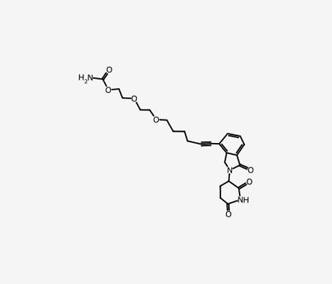 NC(=O)OCCOCCOCCCCC#Cc1cccc2c1CN(C1CCC(=O)NC1=O)C2=O